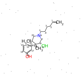 C=CCCCCN1CC[C@](C)(c2cccc(O)c2)[C@@H](C)C1.Cl